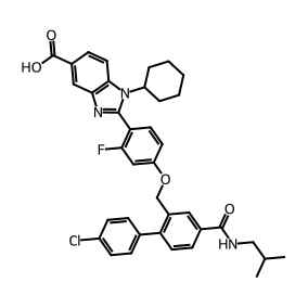 CC(C)CNC(=O)c1ccc(-c2ccc(Cl)cc2)c(COc2ccc(-c3nc4cc(C(=O)O)ccc4n3C3CCCCC3)c(F)c2)c1